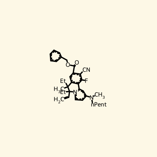 C=CC1(CC)[n+]2ccc(N(C)CCCCC)cc2-c2c(cc(C(=O)OCc3ccccc3)c(C#N)c2F)C1(C)CC